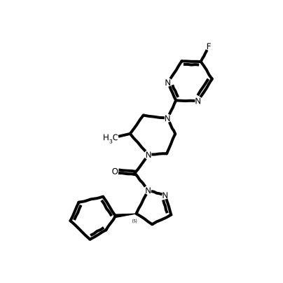 CC1CN(c2ncc(F)cn2)CCN1C(=O)N1N=CC[C@H]1c1ccccc1